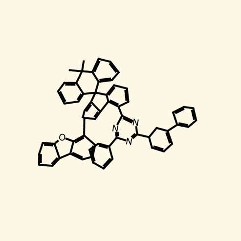 CC1(C)c2ccccc2C2(c3ccc(-c4cccc5c4oc4ccccc45)cc3-c3c(-c4nc(-c5ccccc5)nc(C5C=CC=C(c6ccccc6)C5)n4)cccc32)c2ccccc21